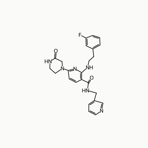 O=C1CN(c2ccc(C(=O)NCc3cccnc3)c(NCCc3cccc(F)c3)n2)CCN1